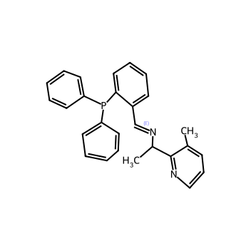 Cc1cccnc1C(C)/N=C/c1ccccc1P(c1ccccc1)c1ccccc1